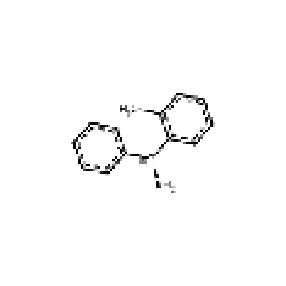 B[P@@](c1ccccc1)c1ccccc1C